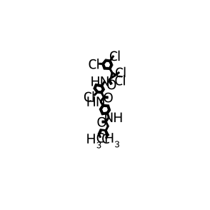 C/C=C\C(=C/C)CC(=O)Nc1ccc(NC(=O)c2cc(NC(=O)C3C(c4cc(Cl)cc(Cl)c4)C3(Cl)Cl)ccc2Cl)cc1